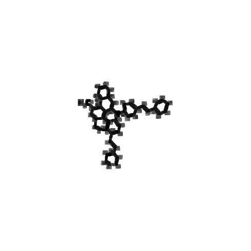 Cc1cc2ccccc2c2c(N(c3ccc(C=Cc4ccccc4)cc3)c3ccc(C=Cc4ccccc4)cc3)cc3ccccc3c12